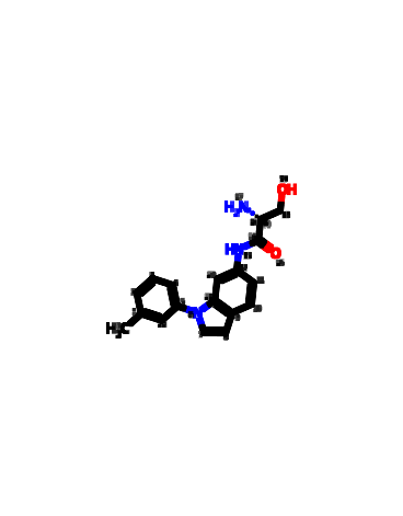 Cc1cccc(-n2ccc3ccc(NC(=O)[C@H](N)CO)cc32)c1